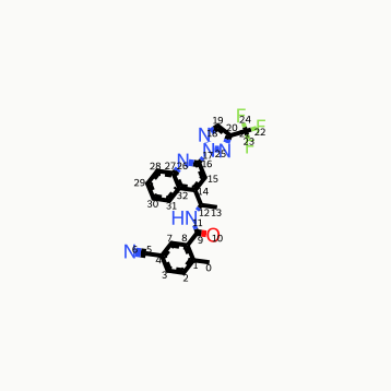 Cc1ccc(C#N)cc1C(=O)NC(C)c1cc(-n2ncc(C(F)(F)F)n2)nc2ccccc12